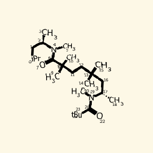 CC(C)C[C@@H](C)N(C)C(=O)C(C)(C)CCC(C)(C)C[C@H](C)N(C)C(=O)C(C)(C)C